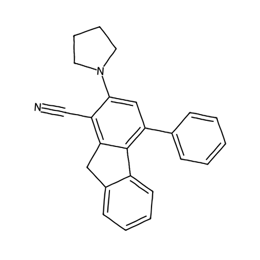 N#Cc1c(N2CCCC2)cc(-c2ccccc2)c2c1Cc1ccccc1-2